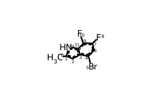 Cc1cc2c(Br)cc(F)c(F)c2[nH]1